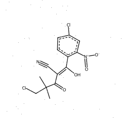 CC(C)(CCl)C(=O)/C(C#N)=C(\O)c1ccc(Cl)cc1[N+](=O)[O-]